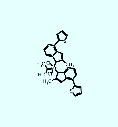 CC1=Cc2c(-c3cccs3)cccc2[CH]1[Zr]([Cl])([Cl])(=[C](C)C)[CH]1C(C)=Cc2c(-c3cccs3)cccc21